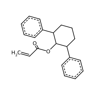 C=CC(=O)OC1C(c2ccccc2)CCCC1c1ccccc1